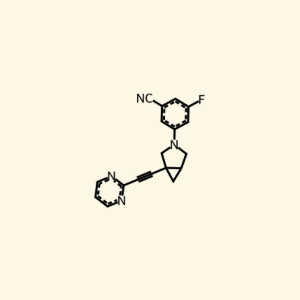 N#Cc1cc(F)cc(N2CC3CC3(C#Cc3ncccn3)C2)c1